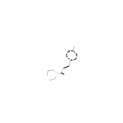 O=C(/C=C/c1ccc(F)cc1)N1CCOCC1